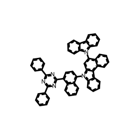 c1ccc(-c2nc(-c3ccccc3)nc(-c3ccc(-n4c5ccccc5c5c6ccccc6c(-n6c7ccccc7c7ccccc76)cc54)c4ccccc34)n2)cc1